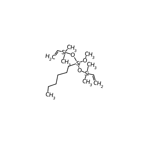 C=C[Si](C)(C)O[Si](CCCCCC)(OC)O[Si](C)(C)C=C